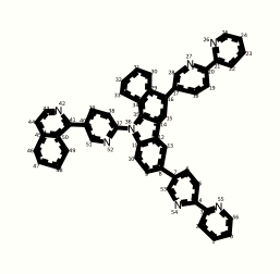 c1ccc(-c2ccc(-c3ccc4c(c3)c3cc(-c5ccc(-c6ccccn6)nc5)c5ccccc5c3n4-c3ccc(-c4nccc5ccccc45)cn3)cn2)nc1